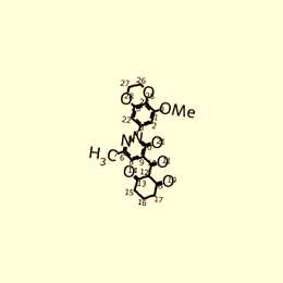 COc1cc(-n2nc(C)cc(C(=O)C3C(=O)CCCC3=O)c2=O)cc2c1OCCO2